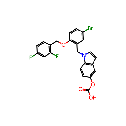 O=C(O)Oc1ccc2c(ccn2Cc2cc(Br)ccc2OCc2ccc(F)cc2F)c1